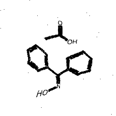 CC(=O)O.ON=C(c1ccccc1)c1ccccc1